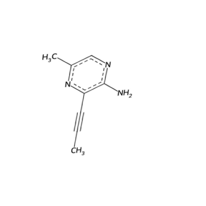 CC#Cc1nc(C)cnc1N